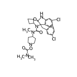 CN(C)C(=O)ON1CCC(N(C)C(=O)N(C2CCC2)C2(Cc3cccc(Cl)c3)C(=O)Nc3cc(Cl)ccc32)CC1